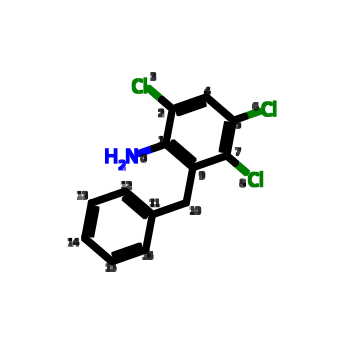 Nc1c(Cl)cc(Cl)c(Cl)c1Cc1ccccc1